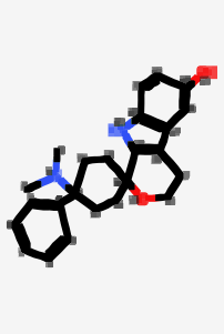 CN(C)C1(c2ccccc2)CCC2(CC1)OCCc1c2[nH]c2ccc(O)cc12